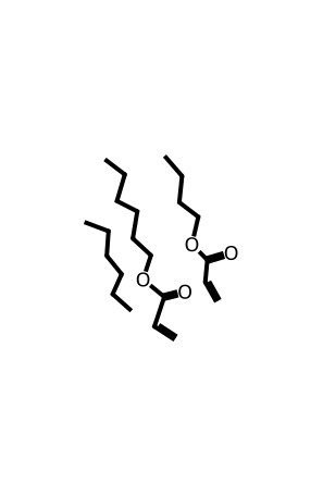 C=CC(=O)OCCCC.C=CC(=O)OCCCCCC.CCCCCC